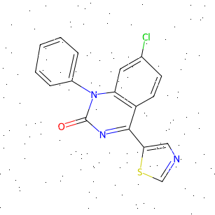 O=c1nc(-c2cncs2)c2ccc(Cl)cc2n1-c1ccccc1